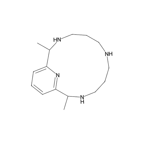 CC1NCCCNCCCNC(C)c2cccc1n2